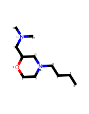 CCCCN1CCOC(CN(C)C)C1